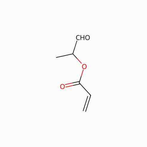 C=CC(=O)OC(C)C=O